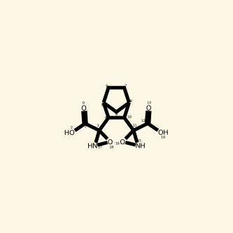 O=C(O)C1(C2C3CCC(C3)C2C2(C(=O)O)NO2)NO1